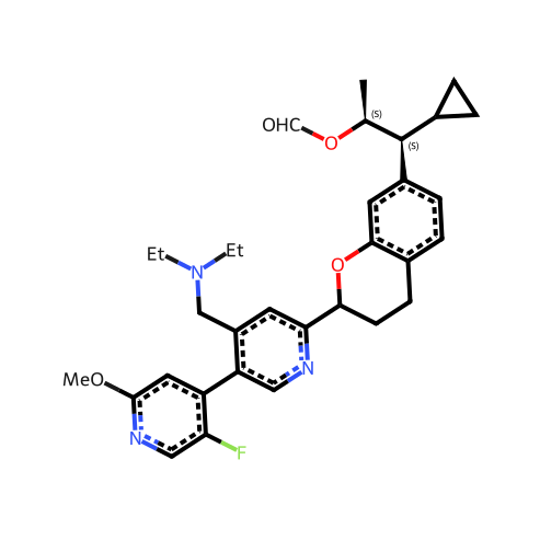 CCN(CC)Cc1cc(C2CCc3ccc([C@H](C4CC4)[C@H](C)OC=O)cc3O2)ncc1-c1cc(OC)ncc1F